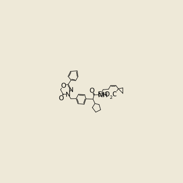 CCOC(=O)C1(/C=C\CCNC(=O)C(c2ccc(CN3N=C(c4ccccc4)OCC3=O)cc2)C2CCCC2)CC1